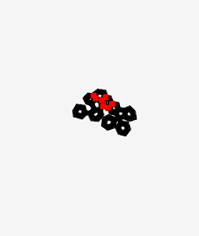 c1ccc(-c2ccccc2-c2c(-c3ccccc3)cccc2N(c2ccccc2)c2ccc3c(c2)C(c2ccccc2)(c2ccccc2)c2ccccc2-3)cc1